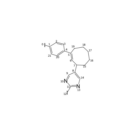 Ic1ccc(/C2=C/C(c3cnc(I)nc3)CCCCC2)cc1